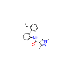 CCc1ccccc1-c1ccccc1NC(=O)c1cn(C)nc1C